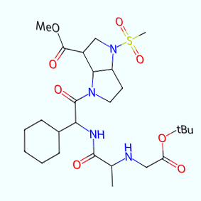 COC(=O)C1CN(S(C)(=O)=O)C2CCN(C(=O)C(NC(=O)C(C)NCC(=O)OC(C)(C)C)C3CCCCC3)C12